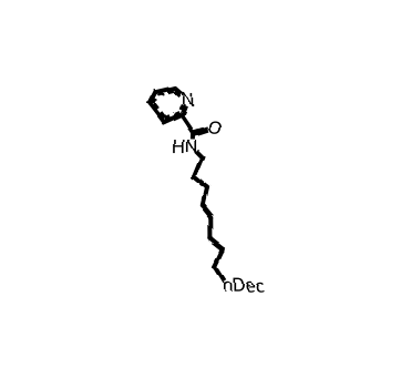 CCCCCCCCCCCCCCCCCCNC(=O)c1ccccn1